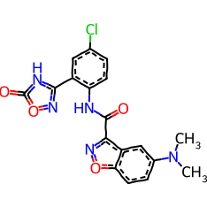 CN(C)c1ccc2onc(C(=O)Nc3ccc(Cl)cc3-c3noc(=O)[nH]3)c2c1